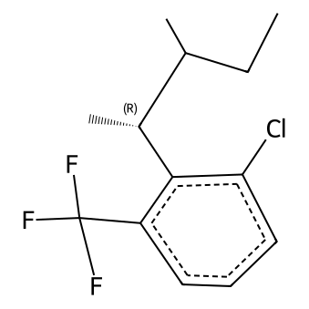 CCC(C)[C@@H](C)c1c(Cl)cccc1C(F)(F)F